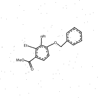 CCCc1c(OCc2ccccc2)ccc(C(=O)OC)c1CC